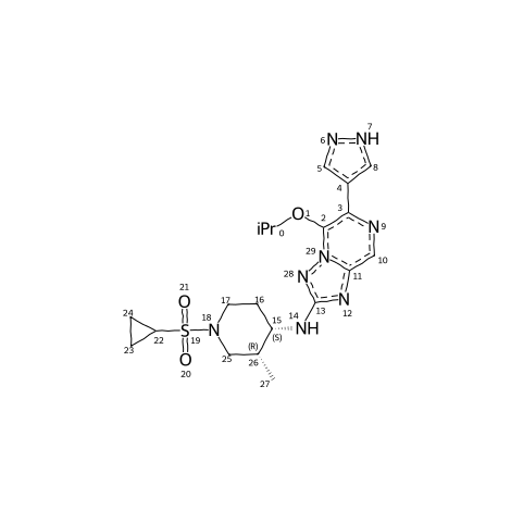 CC(C)Oc1c(-c2cn[nH]c2)ncc2nc(N[C@H]3CCN(S(=O)(=O)C4CC4)C[C@H]3C)nn12